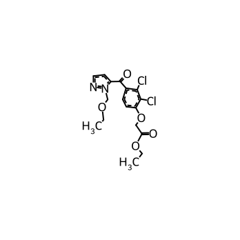 CCOCn1nccc1C(=O)c1ccc(OCC(=O)OCC)c(Cl)c1Cl